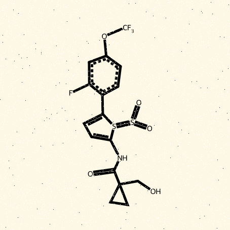 O=C(NC1=CC=C(c2ccc(OC(F)(F)F)cc2F)S1=S(=O)=O)C1(CO)CC1